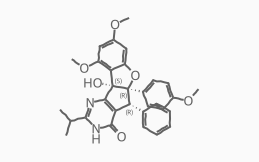 COc1ccc([C@@]23Oc4cc(OC)cc(OC)c4[C@]2(O)c2nc(C(C)C)[nH]c(=O)c2[C@H]3c2ccccc2)cc1